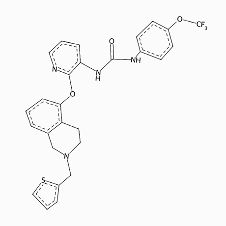 O=C(Nc1ccc(OC(F)(F)F)cc1)Nc1cccnc1Oc1cccc2c1CCN(Cc1cccs1)C2